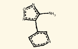 Nc1nonc1-c1cccnc1